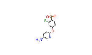 CS(=O)(=O)c1ccc(Oc2ccc(N)cn2)cc1F